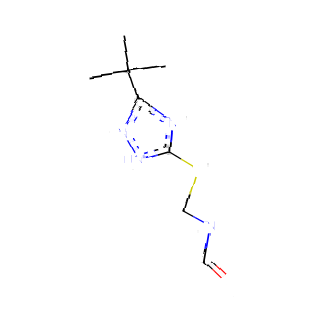 CC(C)(C)c1n[nH]c(SCNC=O)n1